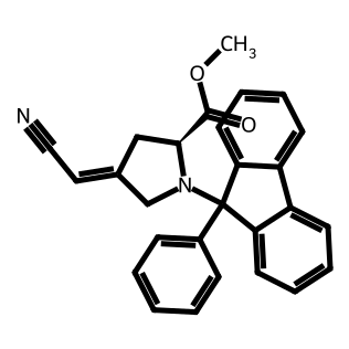 COC(=O)[C@@H]1CC(=CC#N)CN1C1(c2ccccc2)c2ccccc2-c2ccccc21